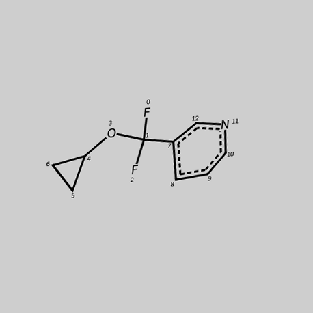 FC(F)(OC1CC1)c1cccnc1